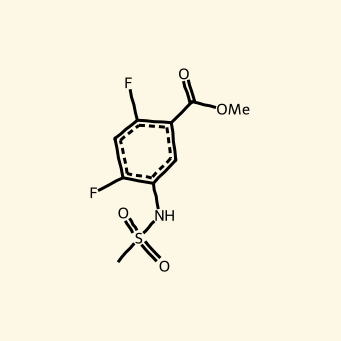 COC(=O)c1cc(NS(C)(=O)=O)c(F)cc1F